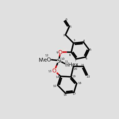 C=CCc1ccccc1O[Si](CCCCCC)(OC)Oc1ccccc1CC=C